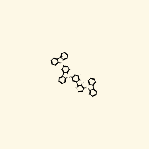 c1ccc2c(c1)c1ccccc1n2-c1ccc2c(c1)c1ccccc1n2-c1ccc2oc3c(-n4c5ccccc5c5ccccc54)ccnc3c2c1